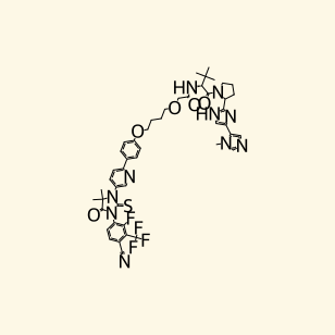 Cn1cncc1-c1c[nH]c(C2CCCN2C(=O)[C@@H](NC(=O)COCCCCOc2ccc(-c3ccc(N4C(=S)N(c5ccc(C#N)c(C(F)(F)F)c5F)C(=O)C4(C)C)cn3)cc2)C(C)(C)C)n1